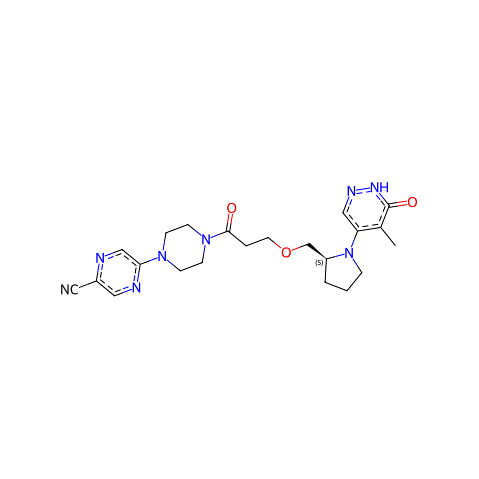 Cc1c(N2CCC[C@H]2COCCC(=O)N2CCN(c3cnc(C#N)cn3)CC2)cn[nH]c1=O